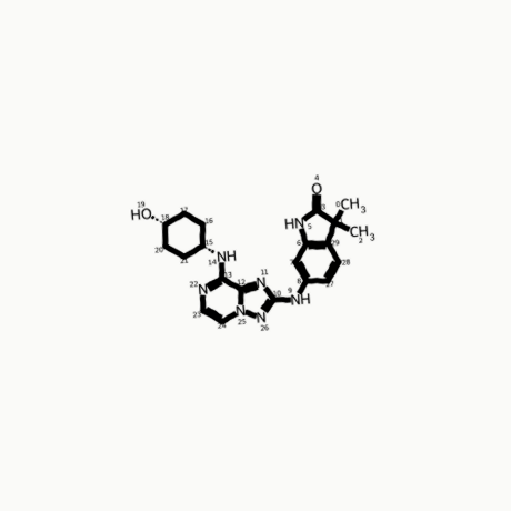 CC1(C)C(=O)Nc2cc(Nc3nc4c(N[C@H]5CC[C@@H](O)CC5)nccn4n3)ccc21